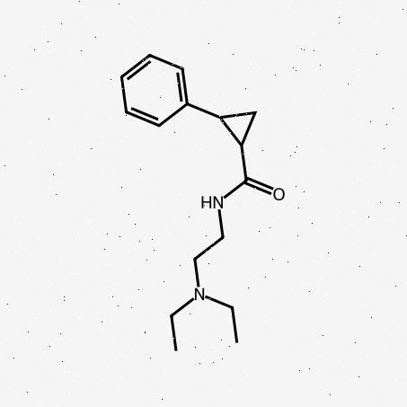 CCN(CC)CCNC(=O)C1CC1c1ccccc1